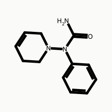 NC(=O)N(c1ccccc1)N1CC=CCC1